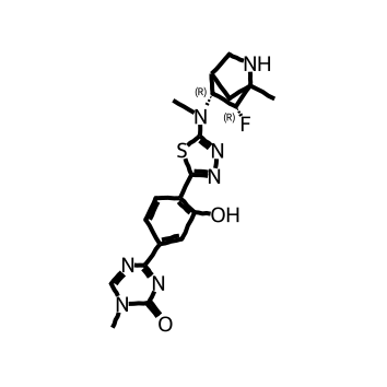 CN(c1nnc(-c2ccc(-c3ncn(C)c(=O)n3)cc2O)s1)[C@@H]1C2CNC(C)(C2)[C@@H]1F